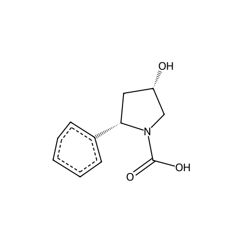 O=C(O)N1C[C@@H](O)C[C@H]1c1ccccc1